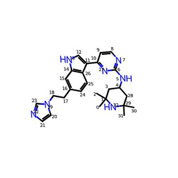 CC1(C)CC(Nc2nccc(-c3c[nH]c4cc(CCn5ccnc5)ccc34)n2)CC(C)(C)N1